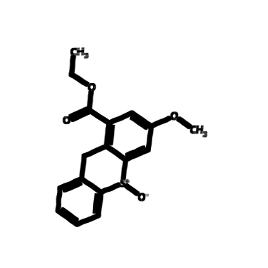 CCOC(=O)c1cc(OC)cc2c1Cc1ccccc1[S+]2[O-]